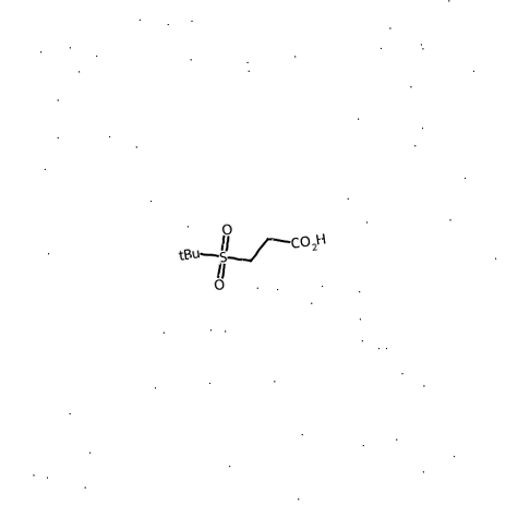 CC(C)(C)S(=O)(=O)CCC(=O)O